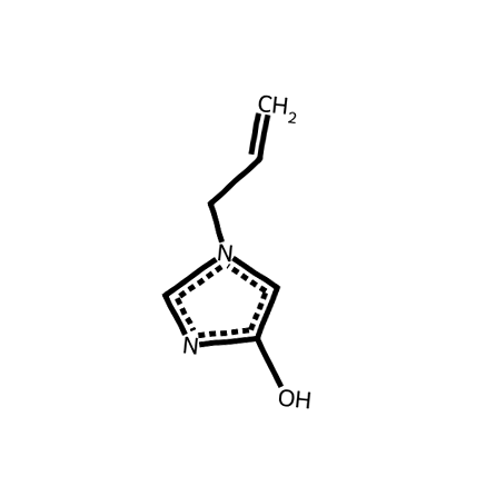 C=CCn1cnc(O)c1